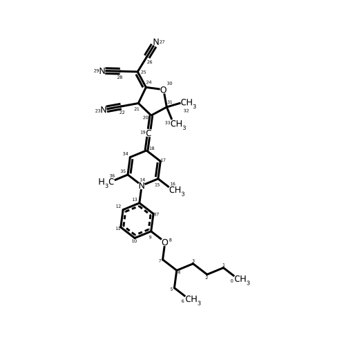 CCCCC(CC)COc1cccc(N2C(C)=CC(=C=C3C(C#N)C(=C(C#N)C#N)OC3(C)C)C=C2C)c1